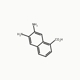 Nc1cc2cccc(C(=O)O)c2cc1N